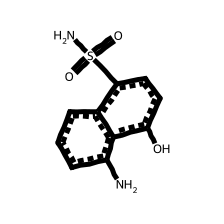 Nc1cccc2c(S(N)(=O)=O)ccc(O)c12